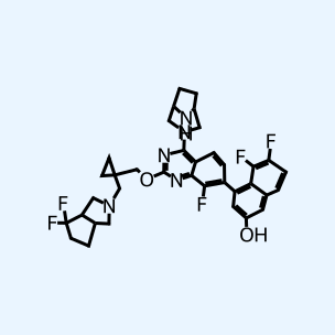 Oc1cc(-c2ccc3c(N4CC5CCC(C4)N5)nc(OCC4(CN5CC6CCC(F)(F)C6C5)CC4)nc3c2F)c2c(F)c(F)ccc2c1